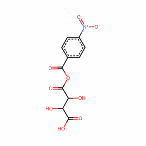 O=C(OC(=O)C(O)C(O)C(=O)O)c1ccc([N+](=O)[O-])cc1